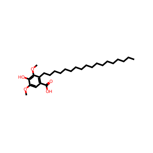 CCCCCCCCCCCCCCCCCCc1c(C(=O)O)cc(OC)c(O)c1OC